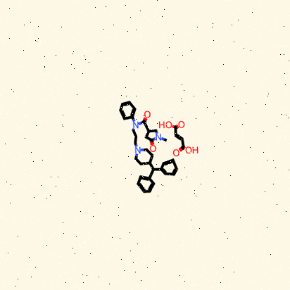 CN1CC(C(=O)N(CCCN2CCC(C(c3ccccc3)c3ccccc3)CC2)c2ccccc2)CC1=O.O=C(O)C=CC(=O)O